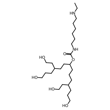 CCNCCCCCCNC(=O)OC(CCCC(CCO)CCCO)CCC(CCO)CCCO